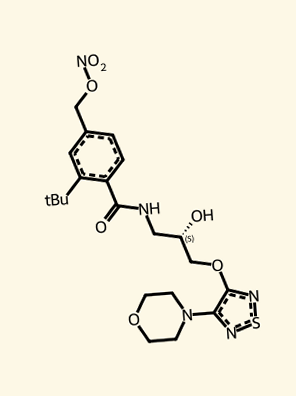 CC(C)(C)c1cc(CO[N+](=O)[O-])ccc1C(=O)NC[C@H](O)COc1nsnc1N1CCOCC1